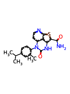 Cc1cc(C(C)C)ccc1N1C(=O)Nc2c(C(N)=O)sc3nccc1c23